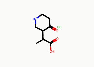 CC(C(=O)O)C1CNCCC1=O.Cl